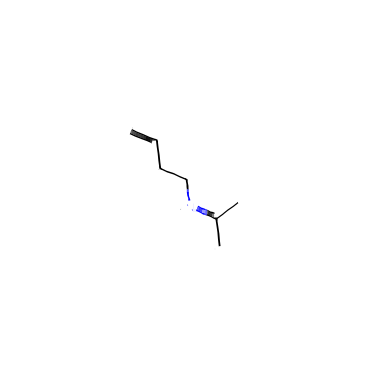 C=CCCN=C(C)C